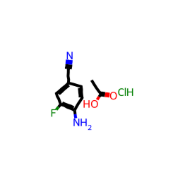 CC(=O)O.Cl.N#Cc1ccc(N)c(F)c1